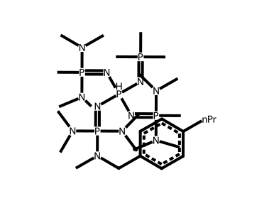 CCCc1ccc(CN(C)P(=N[PH](N=P(C)(C)C)(N=P(C)(N(C)C)N(C)C)N=P(C)(N(C)C)N(C)C)(N(C)C)N(C)C)cc1